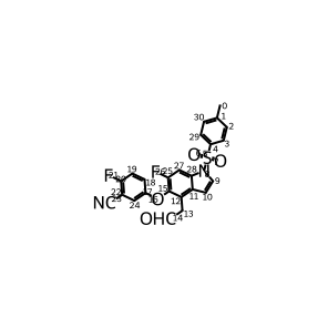 Cc1ccc(S(=O)(=O)n2ccc3c(CC=O)c(Oc4ccc(F)c(C#N)c4)c(F)cc32)cc1